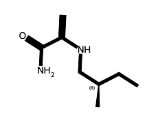 C=C(NC[C@H](C)CC)C(N)=O